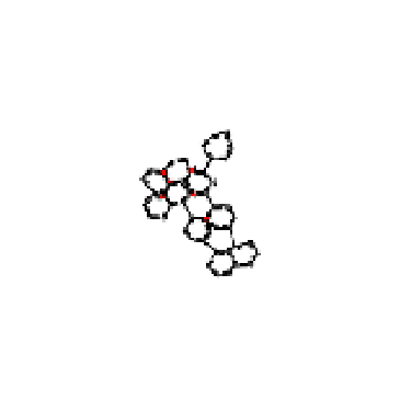 c1ccc(-c2nc(-c3ccccc3)nc(-c3ccc(-c4cccc5cccc(-c6ccc(-c7nc8ccccc8c8ccccc78)cc6)c45)cc3)n2)cc1